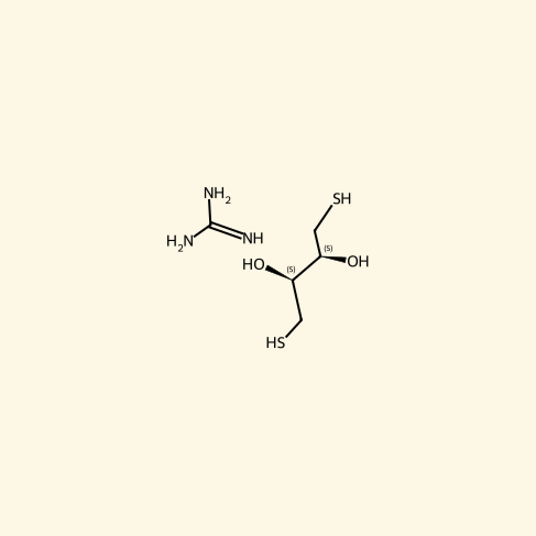 N=C(N)N.O[C@H](CS)[C@H](O)CS